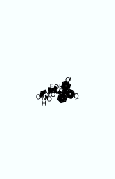 COc1ccc(C(OC[C@H]2O[C@@H](n3ccc(=O)[nH]c3=O)C(C)(F)C2O)(c2ccccc2)c2ccc(OC)cc2)cc1